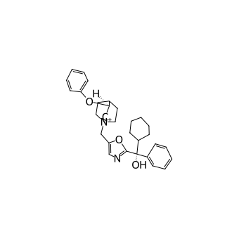 O[C@](c1ccccc1)(c1ncc(C[N+]23CCC(CC2)[C@H](Oc2ccccc2)C3)o1)C1CCCCC1